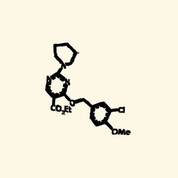 CCOC(=O)c1cnc(N2C[CH]CCC2)nc1OCc1ccc(OC)c(Cl)c1